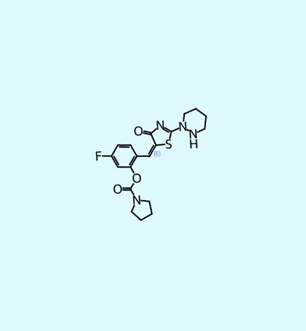 O=C1N=C(N2CCCCN2)S/C1=C/c1ccc(F)cc1OC(=O)N1CCCC1